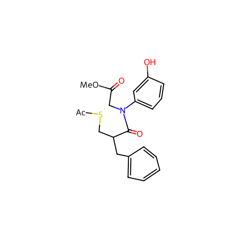 COC(=O)CN(C(=O)C(CSC(C)=O)Cc1ccccc1)c1cccc(O)c1